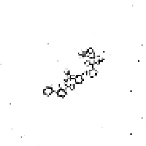 Cc1c(COc2ccc(CN3CCCC3C(=O)NC(C)(CO)CO)cc2[N+](=O)[O-])cccc1-c1ccccc1